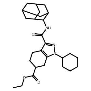 CCOC(=O)C1CCc2c(C(=O)NC3C4CC5CC(C4)CC3C5)nn(C3CCCCC3)c2C1